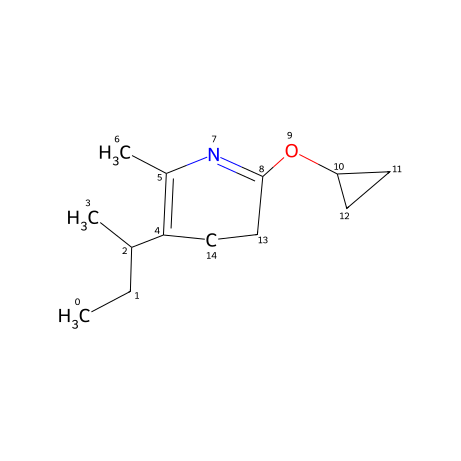 CCC(C)C1=C(C)N=C(OC2CC2)CC1